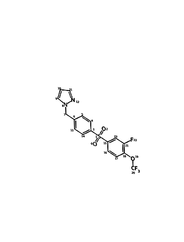 O=S(=O)(c1ccc(Cn2cccn2)cc1)c1ccc(OC(F)(F)F)c(F)c1